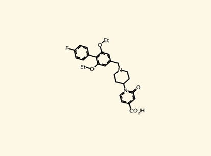 CCOc1cc(CN2CCC(n3ccc(C(=O)O)cc3=O)CC2)cc(OCC)c1-c1ccc(F)cc1